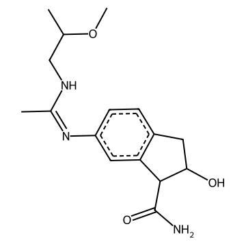 COC(C)CNC(C)=Nc1ccc2c(c1)C(C(N)=O)C(O)C2